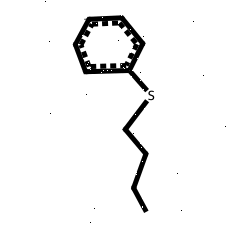 CCCCSc1cc[c]cc1